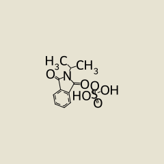 CC(C)N1C(=O)c2ccccc2C1=O.O=S(=O)(O)O